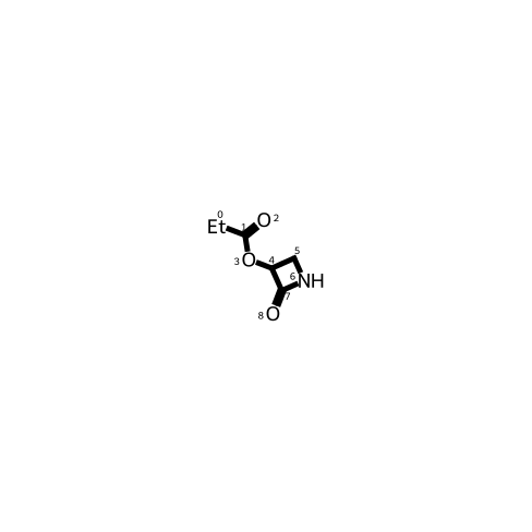 CCC(=O)OC1CNC1=O